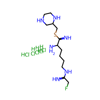 Cl.Cl.Cl.Cl.Cl.N=C(CF)NCCCCC(N)C(=N)SCC1CNCCN1